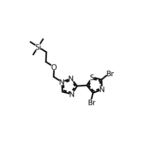 C[Si](C)(C)CCOCn1cnc(-c2sc(Br)nc2Br)n1